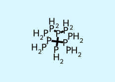 PP(P)C(P)(P(P)P)P(P)P